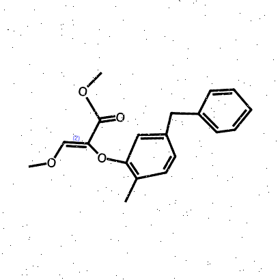 CO/C=C(\Oc1cc(Cc2ccccc2)ccc1C)C(=O)OC